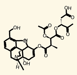 CC(=O)O[C@@H](C(=O)O[C@H](CC(=O)O)C(C)=O)[C@@H](C)C(=O)OC1=CC[C@@]2(O)[C@H]3Cc4ccc(CO)c5c4[C@@]2(CCN3C)[C@H]1O5